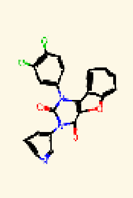 O=c1c2oc3ccccc3c2n(-c2ccc(Cl)c(Cl)c2)c(=O)n1-c1cccnc1